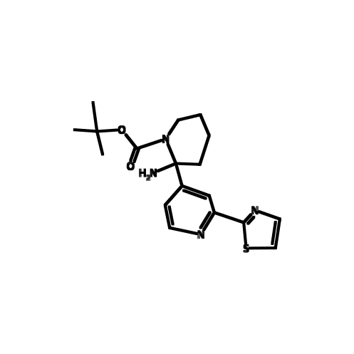 CC(C)(C)OC(=O)N1CCCCC1(N)c1ccnc(-c2nccs2)c1